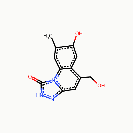 Cc1cc2c(cc1O)c(CO)cc1n[nH]c(=O)n12